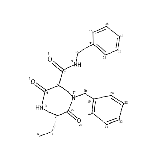 CC[C@@H]1NC(=O)C(C(=O)NCc2ccccc2)N(Cc2ccccc2)C1=O